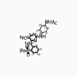 CC(=O)NC1CCC(Nc2ncc(C#N)c(Nc3ccccc3S(=O)(=O)C(C)C)n2)CC1